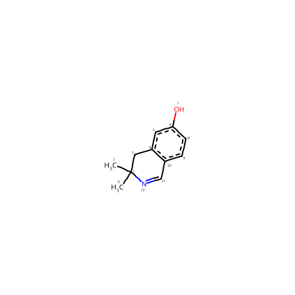 CC1(C)Cc2cc(O)ccc2C=N1